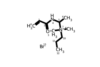 C=CC(=O)NC(C)[N+](C)(C)CCC.[Br-]